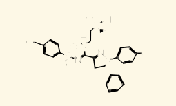 CS(=O)(=O)CCN/C(=N\S(=O)(=O)c1ccc(Cl)cc1)C1=NN(c2ccc(Cl)cc2)[C@H](c2ccccc2)C1